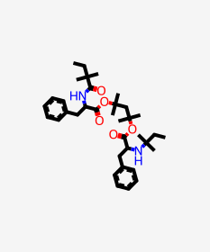 CCC(C)(C)NC(Cc1ccccc1)C(=O)OC(C)(C)CC(C)(C)OC(=O)C(Cc1ccccc1)NC(=O)C(C)(C)CC